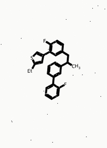 CCc1cc(-c2cc(CC(C)c3cccc(-c4ccccc4F)c3)ccc2F)cs1